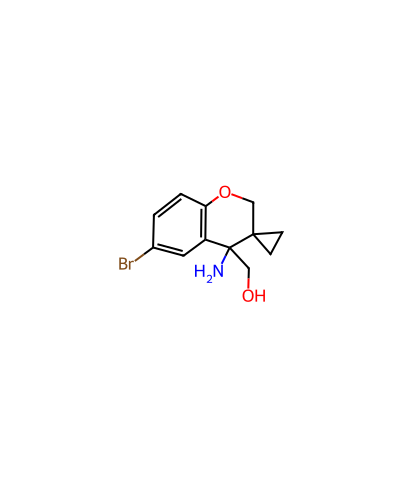 NC1(CO)c2cc(Br)ccc2OCC12CC2